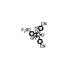 CCCC1(C)N(c2ccc(C#N)cc2)C(=O)N(c2ccc(C#N)cc2)C1(O)c1cccc(OC(F)(F)F)c1